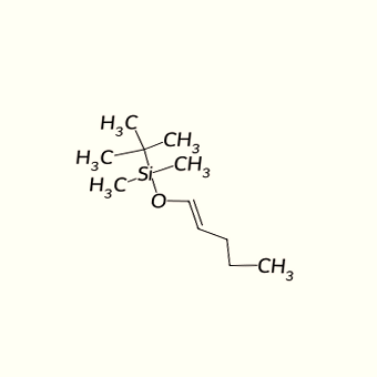 CCC/C=C/O[Si](C)(C)C(C)(C)C